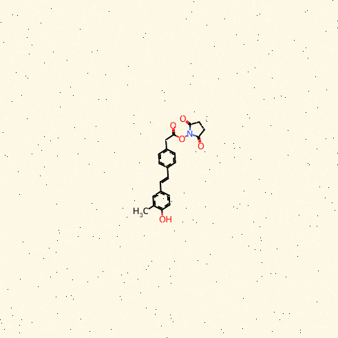 Cc1cc(/C=C/c2ccc(CC(=O)ON3C(=O)CCC3=O)cc2)ccc1O